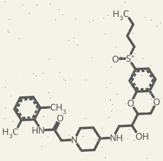 CCCC[S+]([O-])c1ccc2c(c1)OC(C(O)CNC1CCN(CC(=O)Nc3c(C)cccc3C)CC1)CO2